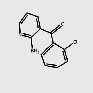 Bc1ncccc1C(=O)c1ccccc1Cl